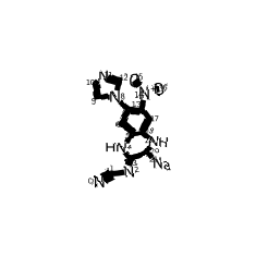 N#CN=C1Nc2cc(-n3ccnc3)c([N+](=O)[O-])cc2N[CH]1[Na]